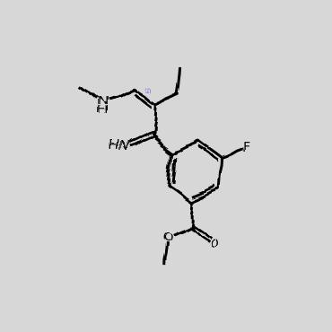 CC/C(=C/NC)C(=N)c1cc(F)cc(C(=O)OC)c1